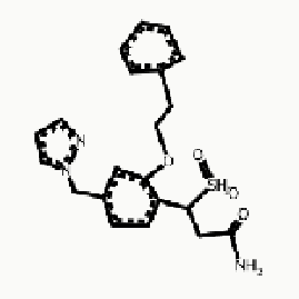 NC(=O)CC(c1ccc(Cn2cccn2)cc1OCCc1ccccc1)[SH](=O)=O